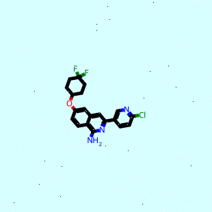 Nc1nc(-c2ccc(Cl)nc2)cc2cc(OC3CCC(F)(F)CC3)ccc12